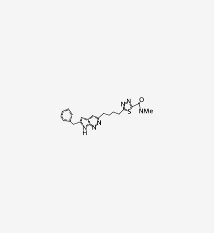 CNC(=O)c1nnc(CCCCc2cc3cc(Cc4ccccc4)[nH]c3nn2)s1